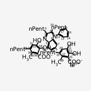 CCCCCC(=Nc1ccccc1)C(CCCCC)=Nc1ccccc1.CCCCCc1cc(O)c(O)c(C(=O)[O-])c1C.CCCCCc1cc(O)c(O)c(C(=O)[O-])c1C.[Ni+2]